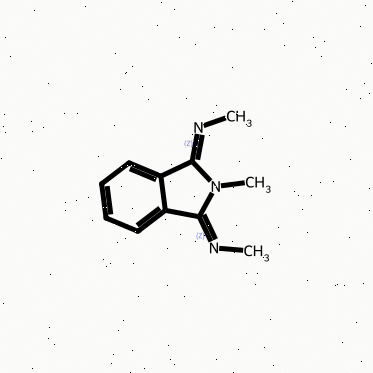 C/N=C1/c2ccccc2/C(=N/C)N1C